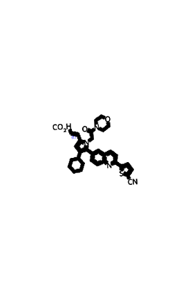 N#Cc1ccc(-c2ccc3cc(-c4c(C5CCCCC5)cc(/C=C/C(=O)O)n4CC(=O)N4CCOCC4)ccc3n2)s1